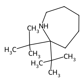 CC(C)(C)C1(C(C)(C)C)CCCCCN1